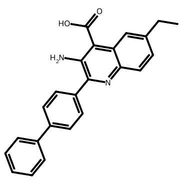 CCc1ccc2nc(-c3ccc(-c4ccccc4)cc3)c(N)c(C(=O)O)c2c1